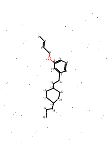 CC=CCOc1cccc(CCC2CCC(CCC)CC2)c1